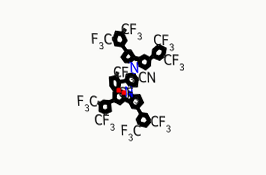 N#Cc1cc(-n2c3ccc(-c4cc(C(F)(F)F)cc(C(F)(F)F)c4)cc3c3cc(-c4cc(C(F)(F)F)cc(C(F)(F)F)c4)ccc32)c(-c2c(C(F)(F)F)cccc2C(F)(F)F)cc1-n1c2ccc(-c3cc(C(F)(F)F)cc(C(F)(F)F)c3)cc2c2cc(-c3cc(C(F)(F)F)cc(C(F)(F)F)c3)ccc21